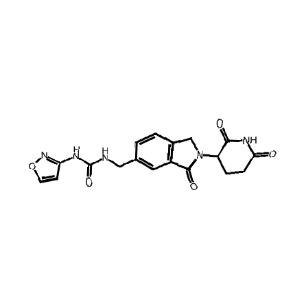 O=C1CCC(N2Cc3ccc(CNC(=O)Nc4ccon4)cc3C2=O)C(=O)N1